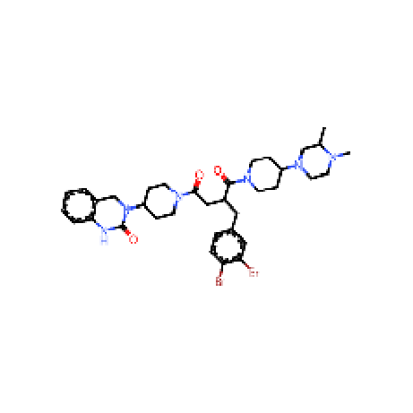 CC1CN(C2CCN(C(=O)C(CC(=O)N3CCC(N4Cc5ccccc5NC4=O)CC3)Cc3ccc(Br)c(Br)c3)CC2)CCN1C